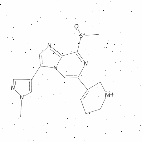 Cn1cc(-c2cnc3c([S+](C)[O-])nc(C4=CCCNC4)cn23)cn1